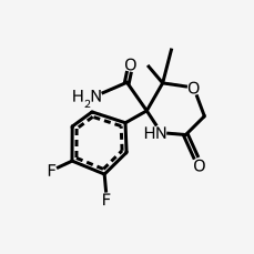 CC1(C)OCC(=O)NC1(C(N)=O)c1ccc(F)c(F)c1